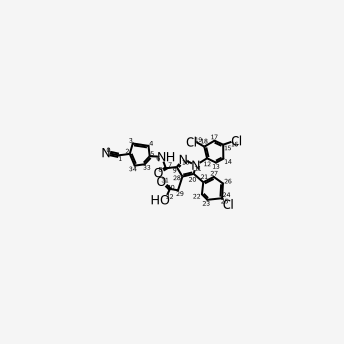 N#Cc1ccc(NC(=O)c2nn(-c3ccc(Cl)cc3Cl)c(-c3ccc(Cl)cc3)c2CC(=O)O)cc1